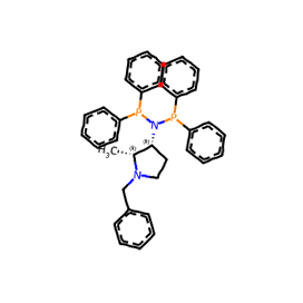 C[C@@H]1[C@H](N(P(c2ccccc2)c2ccccc2)P(c2ccccc2)c2ccccc2)CCN1Cc1ccccc1